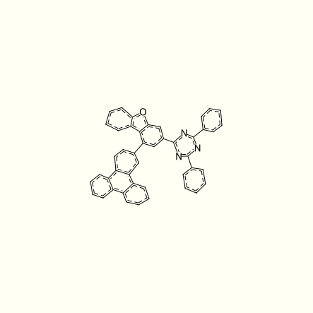 c1ccc(-c2nc(-c3ccccc3)nc(-c3cc(-c4ccc5c6ccccc6c6ccccc6c5c4)c4c(c3)oc3ccccc34)n2)cc1